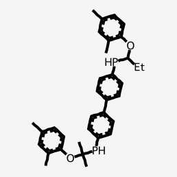 CCC(Oc1ccc(C)cc1C)Pc1ccc(-c2ccc(PC(C)(C)Oc3ccc(C)cc3C)cc2)cc1